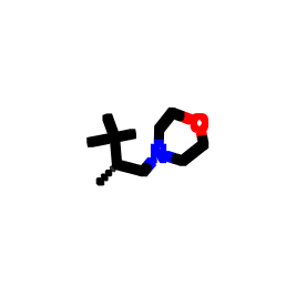 C[C@@H](CN1CCOCC1)C(C)(C)C